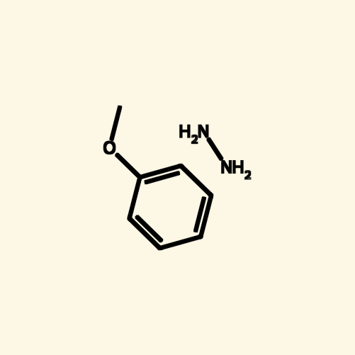 COc1ccccc1.NN